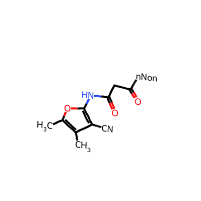 CCCCCCCCCC(=O)CC(=O)Nc1oc(C)c(C)c1C#N